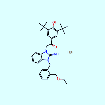 Br.CCOCc1ccccc1Cn1c(=N)n(CC(=O)c2cc(C(C)(C)C)c(O)c(C(C)(C)C)c2)c2ccccc21